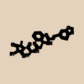 CC(C)[C@H](NC(=O)C[C@H](NC(=O)/C=C/c1ccc2c(c1)OCO2)c1ccccc1)C(=O)[C@@H]1C(=O)N(C(C)C)C(=O)[C@H]1C